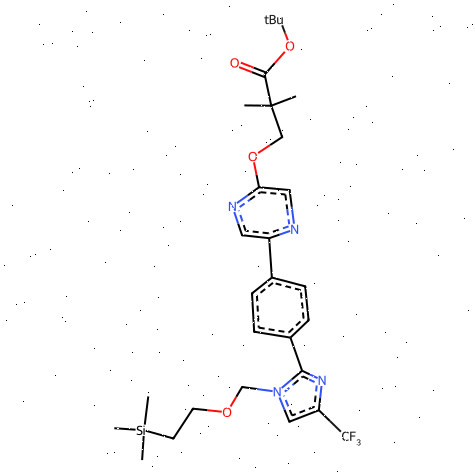 CC(C)(C)OC(=O)C(C)(C)COc1cnc(-c2ccc(-c3nc(C(F)(F)F)cn3COCC[Si](C)(C)C)cc2)cn1